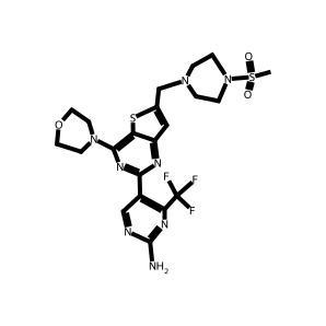 CS(=O)(=O)N1CCN(Cc2cc3nc(-c4cnc(N)nc4C(F)(F)F)nc(N4CCOCC4)c3s2)CC1